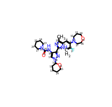 C=C(F)/C(=C\c1[nH]c(-c2nn(C3CCCCO3)cc2NC(=O)N2CCCCC2)nc1C)N1CCCOCC1